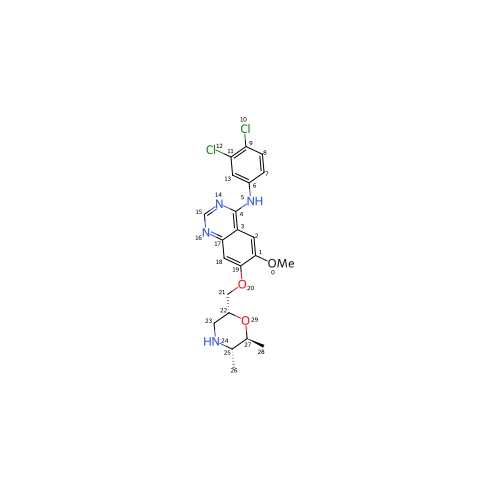 COc1cc2c(Nc3ccc(Cl)c(Cl)c3)ncnc2cc1OC[C@H]1CN[C@@H](C)[C@H](C)O1